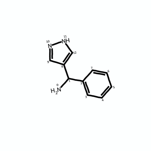 NC(c1ccccc1)c1cn[nH]c1